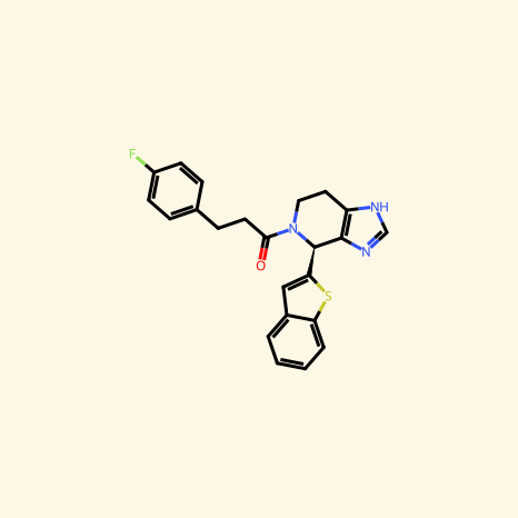 O=C(CCc1ccc(F)cc1)N1CCc2[nH]cnc2[C@H]1c1cc2ccccc2s1